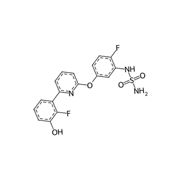 NS(=O)(=O)Nc1cc(Oc2cccc(-c3cccc(O)c3F)n2)ccc1F